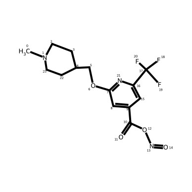 CN1CCC(COc2cc(C(=O)ON=O)cc(C(F)(F)F)n2)CC1